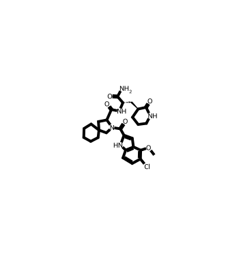 COc1c(Cl)ccc2[nH]c(C(=O)N3CC4(CCCCC4)CC3C(=O)N[C@@H](C[C@@H]3CCCNC3=O)C(N)=O)cc12